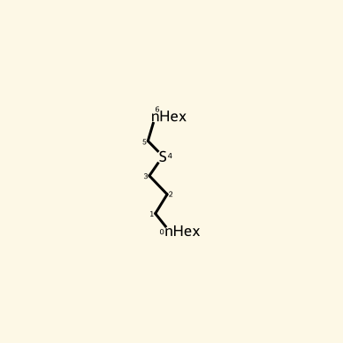 CCCCCCCCCSCCCCCCC